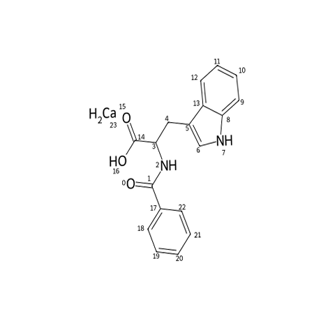 O=C(NC(Cc1c[nH]c2ccccc12)C(=O)O)c1ccccc1.[CaH2]